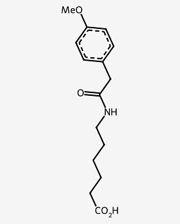 COc1ccc(CC(=O)NCCCCCC(=O)O)cc1